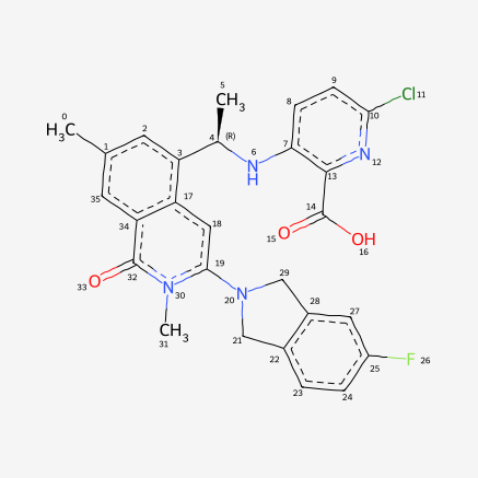 Cc1cc([C@@H](C)Nc2ccc(Cl)nc2C(=O)O)c2cc(N3Cc4ccc(F)cc4C3)n(C)c(=O)c2c1